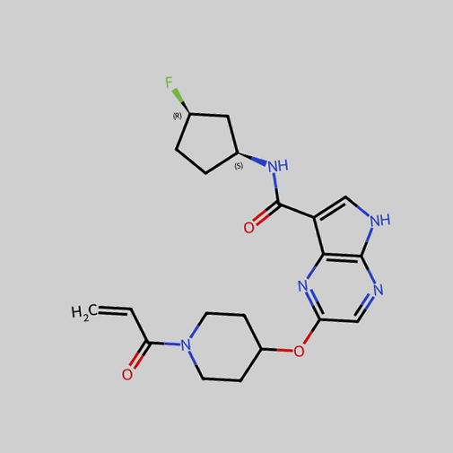 C=CC(=O)N1CCC(Oc2cnc3[nH]cc(C(=O)N[C@H]4CC[C@@H](F)C4)c3n2)CC1